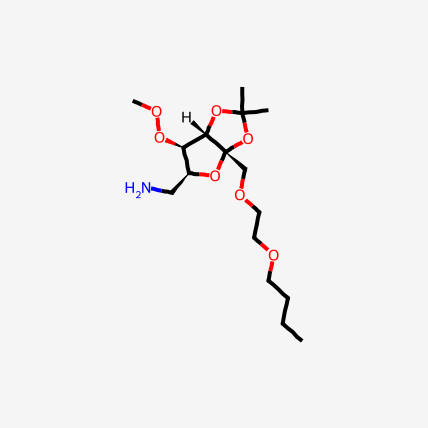 CCCCOCCOC[C@@]12O[C@@H](CN)[C@@H](OOC)[C@@H]1OC(C)(C)O2